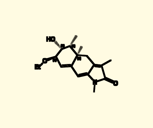 CCO[C@@H]1C=C2C=C3C(=C(C)C(=O)N3C)C[C@]2(C)[C@@H](C)[C@H]1O